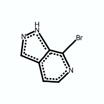 Brc1nccc2cn[nH]c12